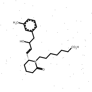 Cc1cccc(CC(O)/C=C/[C@H]2CCCC(=O)N2CCCCCCC(=O)O)c1